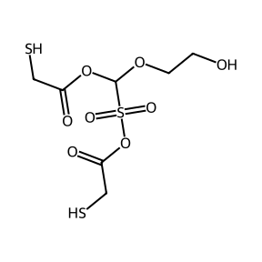 O=C(CS)OC(OCCO)S(=O)(=O)OC(=O)CS